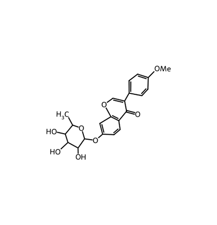 COc1ccc(-c2coc3cc(OC4OC(C)C(O)C(O)C4O)ccc3c2=O)cc1